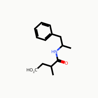 CC(Cc1ccccc1)NC(=O)C(C)CC(=O)O